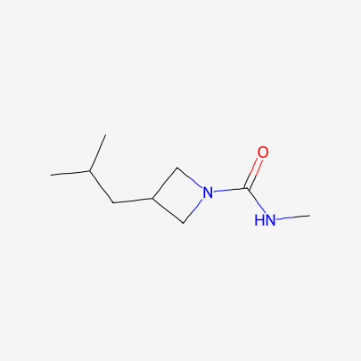 CNC(=O)N1CC(CC(C)C)C1